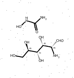 NC(=O)NO.N[C@@H](C=O)[C@@H](O)[C@H](O)[C@H](O)CO